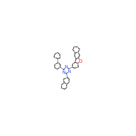 c1ccc(-c2cccc(-c3nc(-c4ccc5ccccc5c4)nc(-c4ccc5oc6cc7ccccc7cc6c5c4)n3)c2)cc1